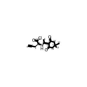 C#CC[C@H](NC(C)=C1C(=O)CC(C)(C)CC1=O)C(=O)Cl